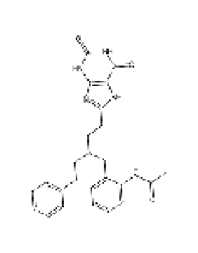 CC(=O)Nc1ccccc1CC(CCc1ccccc1)CCc1nc2[nH]c(=O)[nH]c(=O)c2[nH]1